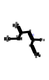 C=C/C(F)=C\C(=C)NC